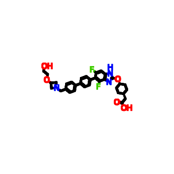 O=C(O)C[C@H]1CC[C@H](Oc2nc3c(F)c(-c4ccc(-c5ccc(CN6CC(OCCO)C6)cc5)cc4)c(F)cc3[nH]2)CC1